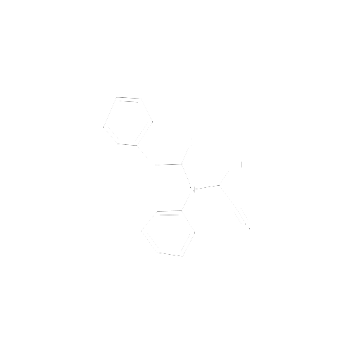 CC(C#N)N(c1ccccc1)C(C)Oc1ccccc1